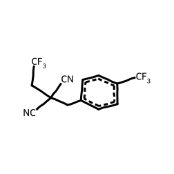 N#CC(C#N)(Cc1ccc(C(F)(F)F)cc1)CC(F)(F)F